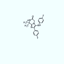 CC1(C)NC(=O)Cn2c1nc(-c1ccc(F)cc1)c2Nc1ccc(F)cc1